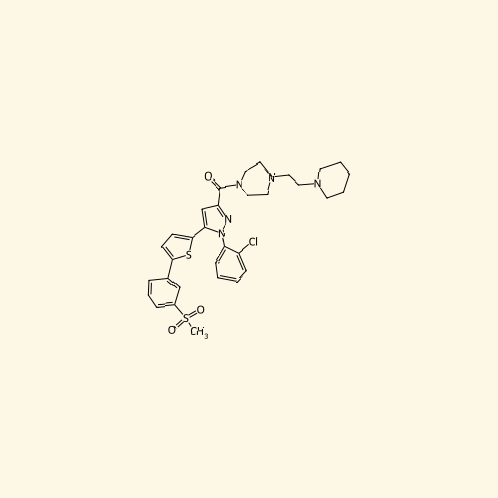 CS(=O)(=O)c1cccc(-c2ccc(-c3cc(C(=O)N4CCN(CCN5CCCCC5)CC4)nn3-c3ccccc3Cl)s2)c1